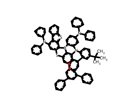 CC(C)(C)c1ccc(N2c3cc(N(c4ccccc4)c4ccccc4)ccc3B3c4c(cc(-c5cc(-c6ccccc6)cc(-c6ccccc6)c5)cc42)Sc2cc(N(c4ccccc4)c4ccccc4)c4c(sc5ccccc54)c23)c(-c2ccccc2)c1